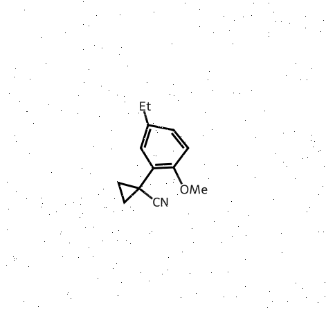 CCc1ccc(OC)c(C2(C#N)CC2)c1